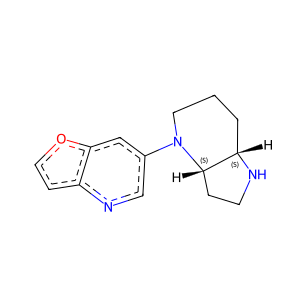 c1cc2ncc(N3CCC[C@@H]4NCC[C@@H]43)cc2o1